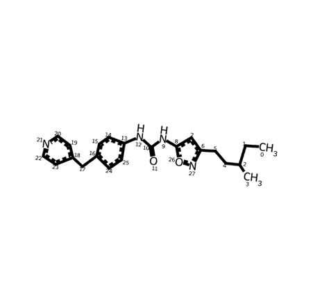 CCC(C)CCc1cc(NC(=O)Nc2ccc(Cc3ccncc3)cc2)on1